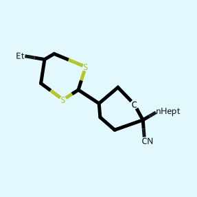 CCCCCCCC1(C#N)CCC(C2SCC(CC)CS2)CC1